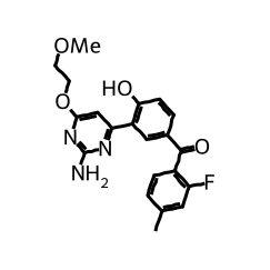 COCCOc1cc(-c2cc(C(=O)c3ccc(C)cc3F)ccc2O)nc(N)n1